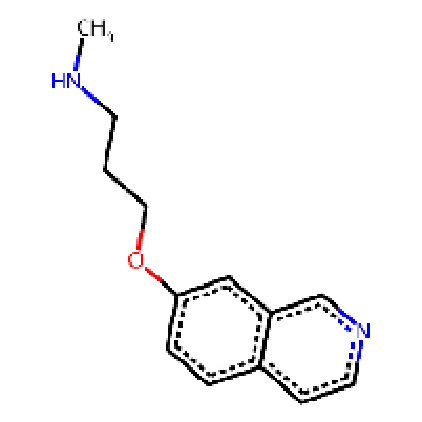 CNCCCOc1ccc2ccncc2c1